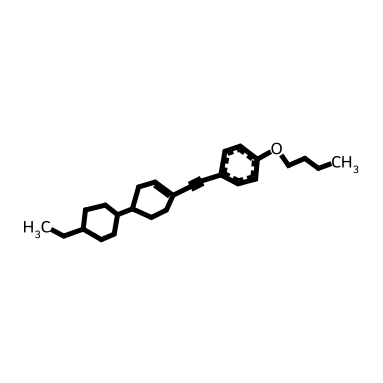 CCCCOc1ccc(C#CC2=CCC(C3CCC(CC)CC3)CC2)cc1